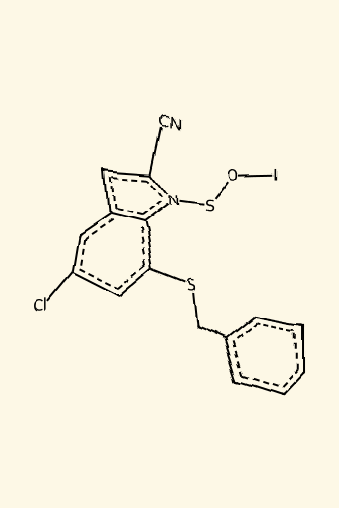 N#Cc1cc2cc(Cl)cc(SCc3ccccc3)c2n1SOI